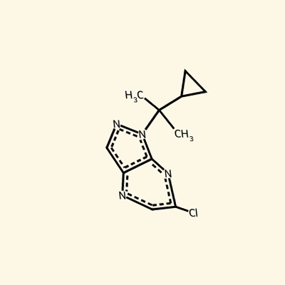 CC(C)(C1CC1)n1ncc2ncc(Cl)nc21